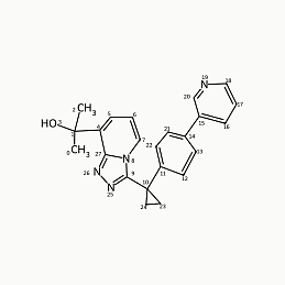 CC(C)(O)c1cccn2c(C3(c4ccc(-c5cccnc5)cc4)CC3)nnc12